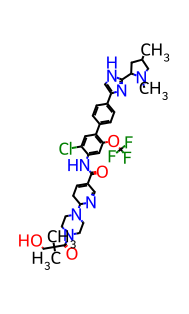 CC1CC(c2nc(-c3ccc(-c4cc(Cl)c(NC(=O)C5=CCC(N6CCN(C(=O)C(C)(C)CO)CC6)N=C5)cc4OC(F)(F)F)cc3)c[nH]2)N(C)C1